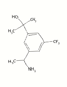 CC(N)c1cc(C(C)(C)O)cc(C(F)(F)F)c1